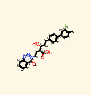 Cc1ccc(-c2ccc(CC[C@@H](O)C(CCn3nnc4ccccc4c3=O)C(=O)O)cc2)cc1F